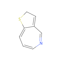 C1=CN=CC2=CCSC2=C1